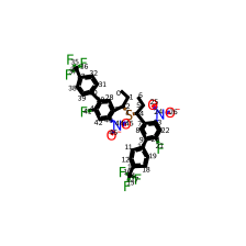 CCC(SC(CC)c1cc(-c2ccc(C(F)(F)F)cc2)c(F)cc1[N+](=O)[O-])c1cc(-c2ccc(C(F)(F)F)cc2)c(F)cc1[N+](=O)[O-]